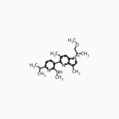 CNc1nc(C(C)C)ccc1-c1nc2c(C)cn([C@H](C)COC)c2cc1C